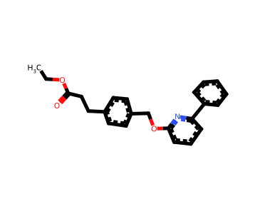 CCOC(=O)CCc1ccc(COc2cccc(-c3ccccc3)n2)cc1